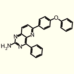 Nc1nc(-c2ccccc2)c2nc(-c3ccc(Oc4ccccc4)cc3)ccc2n1